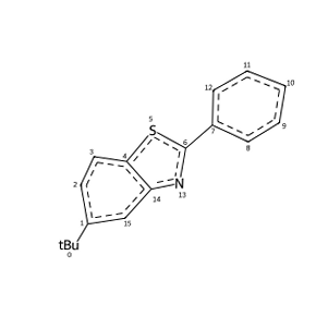 CC(C)(C)c1ccc2sc(-c3ccccc3)nc2c1